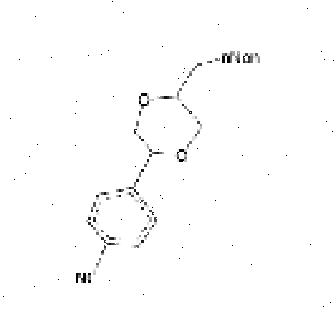 CCCCCCCCCCC1COC(c2ccc(C#N)cc2)CO1